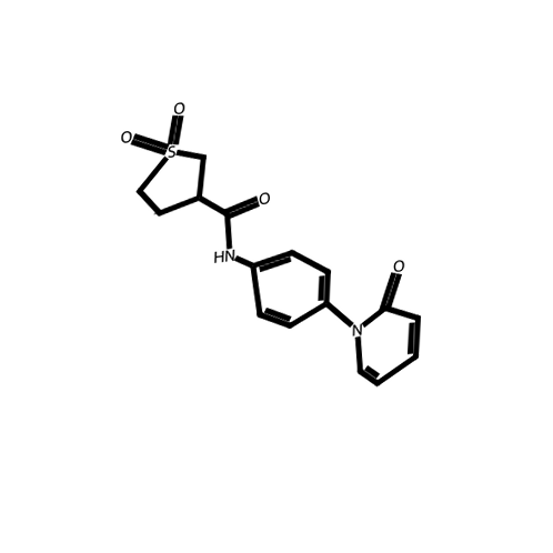 O=C(Nc1ccc(-n2ccccc2=O)cc1)C1[CH]CS(=O)(=O)C1